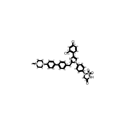 CN1CCN(c2ccc(-c3ccc(Cc4nc(-c5ccc(Cl)cc5Cl)cn4-c4ccc(N5CC(=O)NS5(=O)=O)cc4)cc3)cc2)CC1